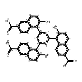 O=C(O)c1ccc2c(-c3nc(-c4c(O)ccc5cc(C(=O)O)ccc45)nc(-c4c(O)ccc5cc(C(=O)O)ccc45)n3)c(O)ccc2c1